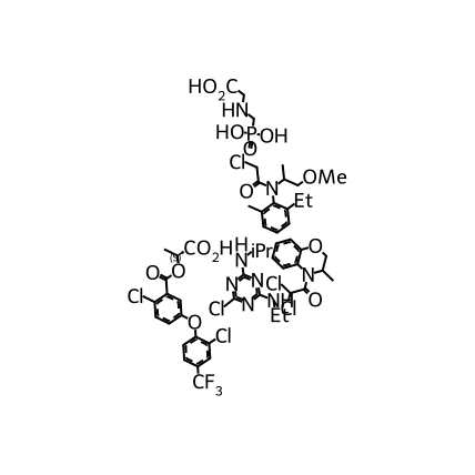 CC1COc2ccccc2N1C(=O)C(Cl)Cl.CCNc1nc(Cl)nc(NC(C)C)n1.CCc1cccc(C)c1N(C(=O)CCl)C(C)COC.C[C@H](OC(=O)c1cc(Oc2ccc(C(F)(F)F)cc2Cl)ccc1Cl)C(=O)O.O=C(O)CNCP(=O)(O)O